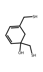 OC1(CS)C=CC=C(CS)C1